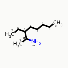 CCCCCC(CC)C(C)N